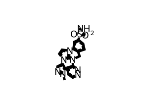 Cn1cc(-n2ccnc2N(Cc2ccc(S(N)(=O)=O)cc2)c2cccnn2)cn1